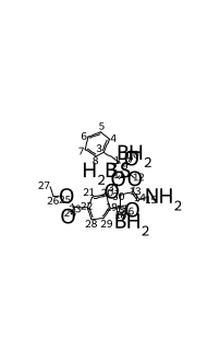 BC(B)(c1ccccc1)S(=O)(=O)OC1=C(N)O[C@@](B)(c2ccc(C(=O)OCC)cc2)C1=O